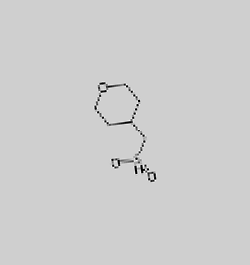 O=[SH](=O)CC1CCOCC1